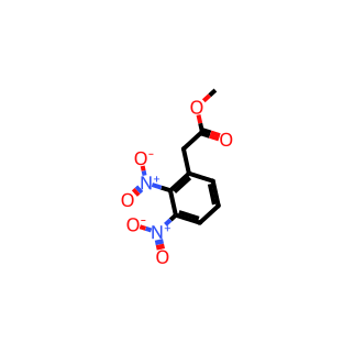 COC(=O)Cc1cccc([N+](=O)[O-])c1[N+](=O)[O-]